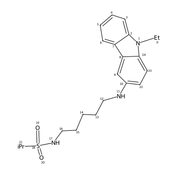 CCn1c2ccccc2c2cc(NCCCCCNS(=O)(=O)C(C)C)ccc21